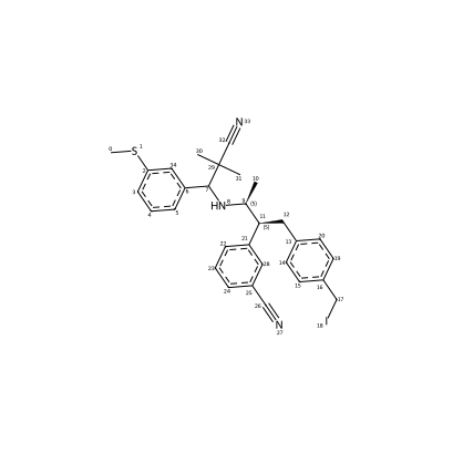 CSc1cccc(C(N[C@@H](C)[C@@H](Cc2ccc(CI)cc2)c2cccc(C#N)c2)C(C)(C)C#N)c1